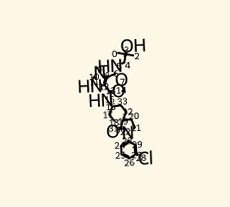 CC(C)(O)CNC(=O)c1nc[nH]c1C(=O)N[C@H]1CC[C@@]2(CCN(c3cccc(Cl)c3)C2=O)CC1